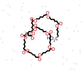 CCC(C)C(=O)OCCCCCC(=O)OCCCCCC(=O)OCCCCCC(=O)OCCCCCC(=O)OCCCCCC(=O)OCCCCCC(=O)OCCCCCC(=O)OCCCCCC(=O)OCCCCCC(=O)OCCCCCC(=O)O